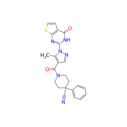 Cc1c(C(=O)N2CCC(C#N)(c3ccccc3)CC2)cnn1-c1nc2sccc2c(=O)[nH]1